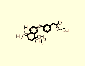 CCCCOC(=O)Cc1cccc(Sc2ccc3c(c2)C(C)(C)CCC3(C)C)c1